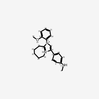 CNc1ccc(-c2cn(-c3ccccc3OC)c3[n+]2CCCCC3)cc1